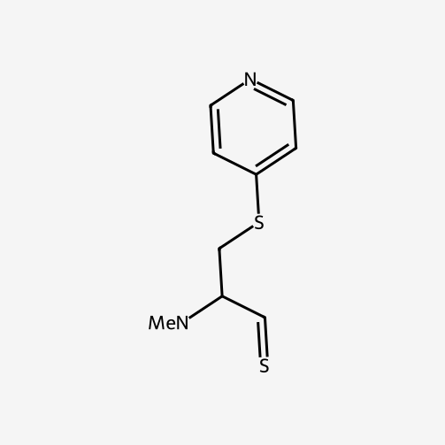 CNC(C=S)CSc1ccncc1